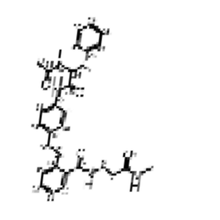 CNC(=O)CCNC(=O)c1ccccc1SCc1ccc(NC(=O)C(Cc2ccccc2)NC(C)=O)cc1